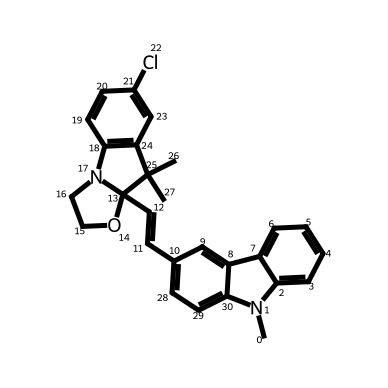 Cn1c2ccccc2c2cc(C=CC34OCCN3c3ccc(Cl)cc3C4(C)C)ccc21